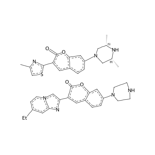 CCc1ccn2cc(-c3cc4ccc(N5CCNCC5)cc4oc3=O)nc2c1.Cc1csc(-c2cc3ccc(N4C[C@@H](C)N[C@@H](C)C4)cc3oc2=O)n1